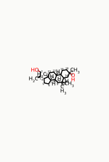 C=C(CO)[C@H]1CC[C@H]2[C@@H]3CC(C)(C)[C@@H]4C[C@@](C)(O)CC[C@@H]4[C@H]3CC[C@]12C